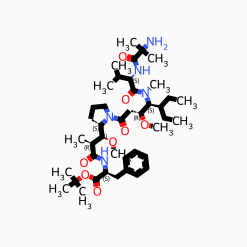 CCC(CC)[C@@H]([C@@H](CC(=O)N1CCC[C@H]1[C@H](OC)[C@@H](C)C(=O)N[C@@H](Cc1ccccc1)C(=O)OC(C)(C)C)OC)N(C)C(=O)[C@@H](NC(=O)C(C)(C)N)C(C)C